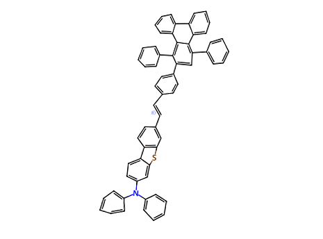 C(=C\c1ccc2c(c1)sc1cc(N(c3ccccc3)c3ccccc3)ccc12)/c1ccc(-c2cc(-c3ccccc3)c3c4ccccc4c4ccccc4c3c2-c2ccccc2)cc1